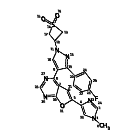 Cn1cnc(-c2cc3c(-c4cn(C5CS(=O)(=O)C5)nc4-c4ccc(F)cc4)ncnc3o2)c1